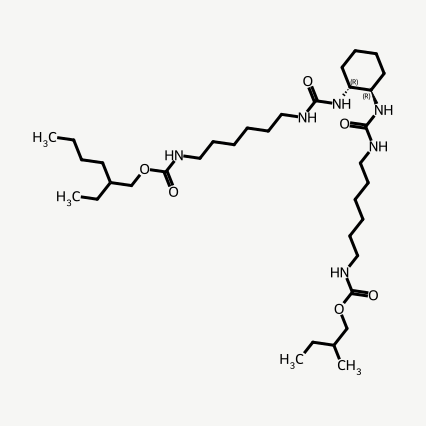 CCCCC(CC)COC(=O)NCCCCCCNC(=O)N[C@@H]1CCCC[C@H]1NC(=O)NCCCCCCNC(=O)OCC(C)CC